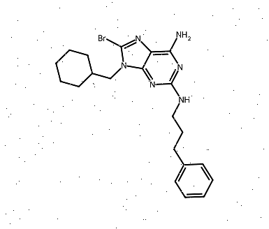 Nc1nc(NCCCc2ccccc2)nc2c1nc(Br)n2CC1CCCCC1